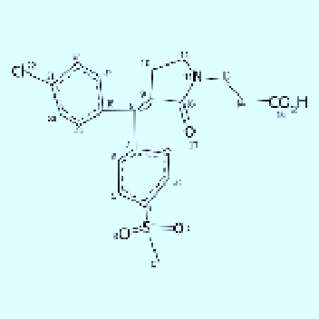 CS(=O)(=O)c1ccc(C(=C2CCN(CCC(=O)O)C2=O)c2ccc(Cl)cc2)cc1